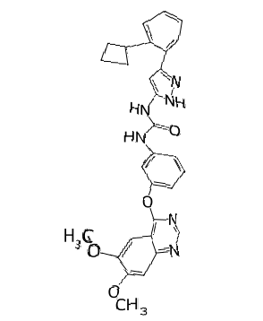 COc1cc2ncnc(Oc3cccc(NC(=O)Nc4cc(-c5ccccc5C5CCC5)n[nH]4)c3)c2cc1OC